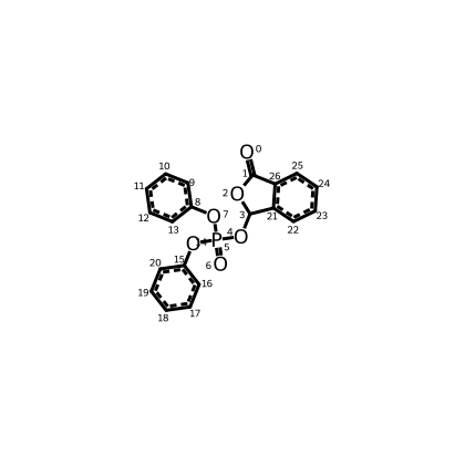 O=C1OC(OP(=O)(Oc2ccccc2)Oc2ccccc2)c2ccccc21